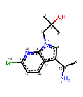 C[C@@H](N)c1cn(CC(C)(C)O)c2nc(Br)ccc12